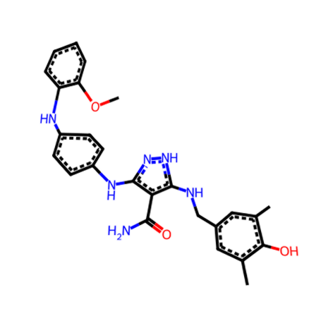 COc1ccccc1Nc1ccc(Nc2n[nH]c(NCc3cc(C)c(O)c(C)c3)c2C(N)=O)cc1